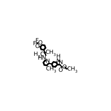 CCOC(=O)c1n[nH]c2cc(-c3nc(NCC(C)(C)c4ccc5c(c4)OC(F)(F)O5)ccc3C)ccc12